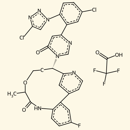 CC1OCC[C@H](n2cnc(-c3cc(Cl)ccc3-n3cc(Cl)nn3)cc2=O)c2cc(ccn2)-c2cc(F)ccc2NC1=O.O=C(O)C(F)(F)F